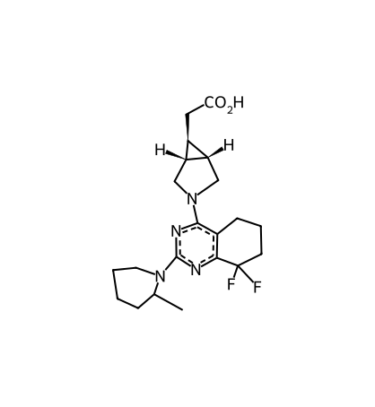 CC1CCCCN1c1nc(N2C[C@@H]3[C@@H](CC(=O)O)[C@@H]3C2)c2c(n1)C(F)(F)CCC2